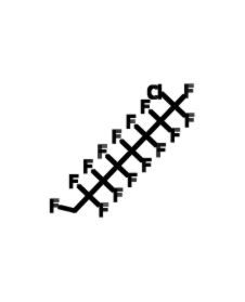 FCC(F)(F)C(F)(F)C(F)(F)C(F)(F)C(F)(F)C(F)(F)C(F)(F)Cl